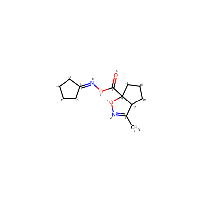 CC1=NOC2(C(=O)ON=C3CCCC3)CCCC12